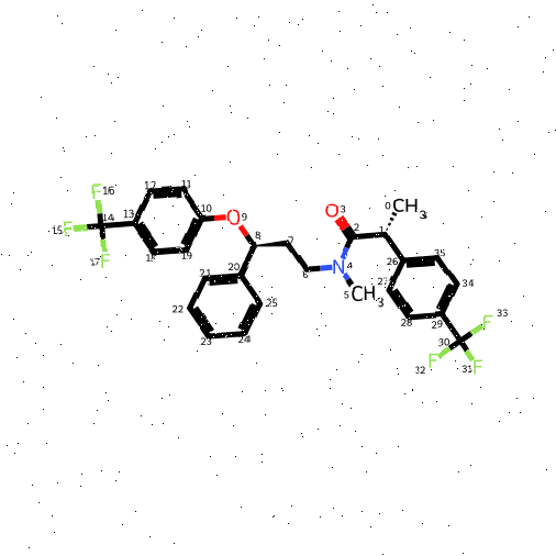 C[C@@H](C(=O)N(C)CC[C@H](Oc1ccc(C(F)(F)F)cc1)c1ccccc1)c1ccc(C(F)(F)F)cc1